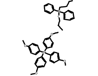 CCCC[B-](CCCC)(c1ccccc1)c1ccccc1.COc1ccc([P+](c2ccc(OC)cc2)(c2ccc(OC)cc2)c2ccc(OC)cc2)cc1